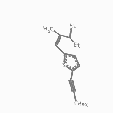 CCCCCCC#Cc1ccc(C=C(C)C(CC)CC)s1